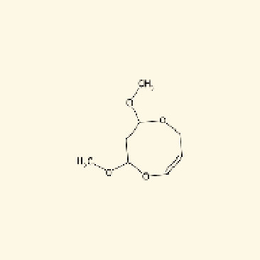 COC1CC(OC)OC/C=C\O1